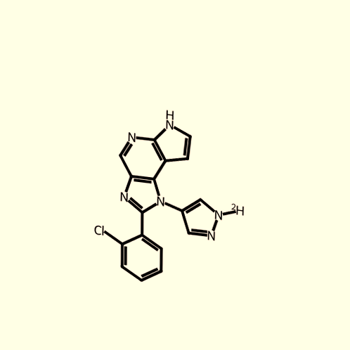 [2H]n1cc(-n2c(-c3ccccc3Cl)nc3cnc4[nH]ccc4c32)cn1